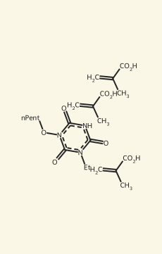 C=C(C)C(=O)O.C=C(C)C(=O)O.C=C(C)C(=O)O.CCCCCOn1c(=O)[nH]c(=O)n(CC)c1=O